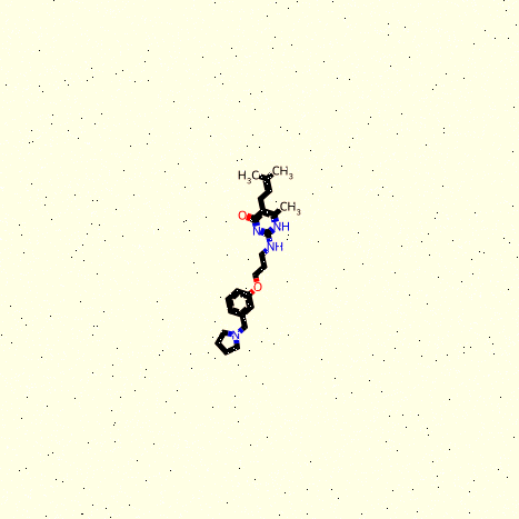 CC(C)=CCc1c(C)[nH]c(NCCCOc2cccc(CN3CCCC3)c2)nc1=O